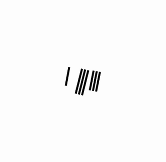 C#C.C#C.CC